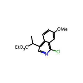 CCOC(=O)C(C)c1cnc(Cl)c2cc(OC)ccc12